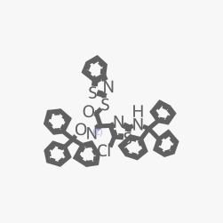 O=C(Sc1nc2ccccc2s1)/C(=N\OC(c1ccccc1)(c1ccccc1)c1ccccc1)c1nc(NC(c2ccccc2)(c2ccccc2)c2ccccc2)sc1Cl